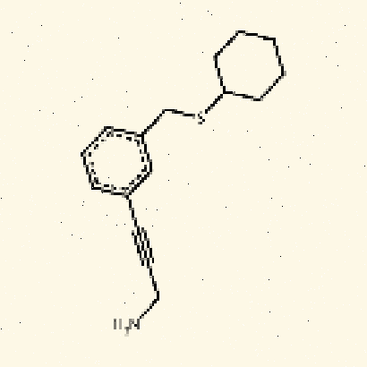 NCC#Cc1cccc(CSC2CCCCC2)c1